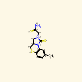 Cc1ccc2c(c1)N1C(=S)N(CC(N)=S)CC1CS2